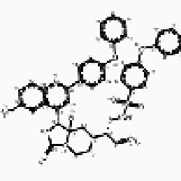 C=C[C@@H](CNS(=O)(=O)c1ccc(Oc2ccccc2)cc1)[C@H]1CCN2C(=O)S[C@@H](c3cc(-c4ccc(Oc5ccccc5)cc4)nc4ccc(C)cc34)[C@@H]2C1